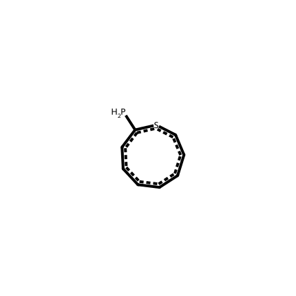 Pc1cccccccs1